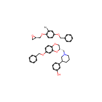 CC(=O)c1cc(OCc2ccccc2)ccc1OC[C@H]1CO1.Oc1cccc(C2CCCN(C[C@H]3COc4ccc(OCc5ccccc5)cc4O3)C2)c1